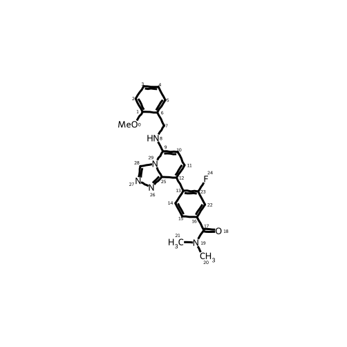 COc1ccccc1CNc1ccc(-c2ccc(C(=O)N(C)C)cc2F)c2nncn12